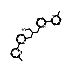 Cc1cccc(-c2cccc(CC(CO)Cc3cccc(-c4cccc(C)n4)n3)n2)n1